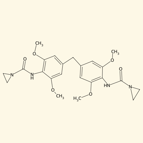 COc1cc(Cc2cc(OC)c(NC(=O)N3CC3)c(OC)c2)cc(OC)c1NC(=O)N1CC1